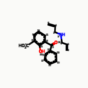 C=CCNCC=C.O=C(O)c1cccc(C(=O)c2ccccc2)c1O